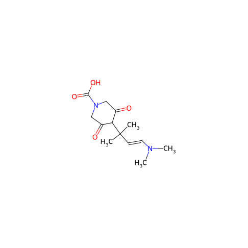 CN(C)C=CC(C)(C)C1C(=O)CN(C(=O)O)CC1=O